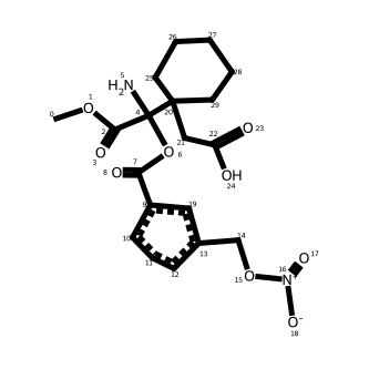 COC(=O)C(N)(OC(=O)c1cccc(CO[N+](=O)[O-])c1)C1(CC(=O)O)CCCCC1